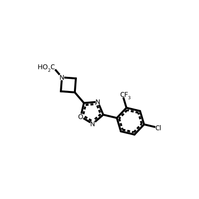 O=C(O)N1CC(c2nc(-c3ccc(Cl)cc3C(F)(F)F)no2)C1